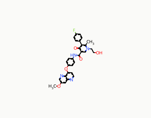 COc1cnc2c(Oc3ccc(NC(=O)c4cn(CCO)c(C)c(-c5ccc(F)cc5)c4=O)cc3)ccnc2c1